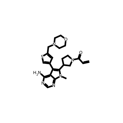 C=CC(=O)N1CCC(c2c(-c3csc(CN4CCOCC4)c3)c3c(N)ncnc3n2C)C1